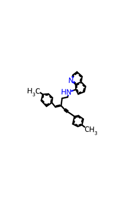 Cc1ccc(C#C/C(=C/c2ccc(C)cc2)CCNc2cccc3cccnc23)cc1